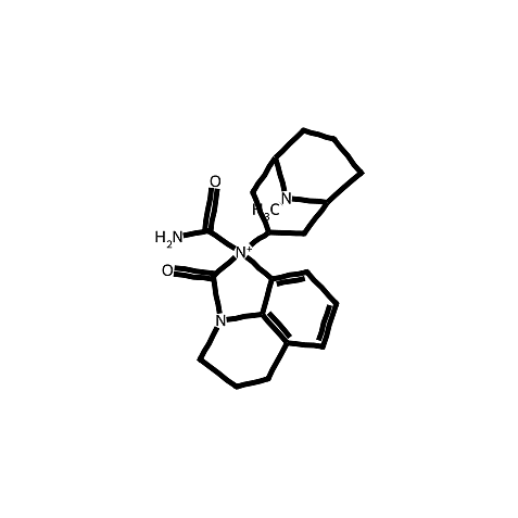 CN1C2CCCC1CC([N+]1(C(N)=O)C(=O)N3CCCc4cccc1c43)C2